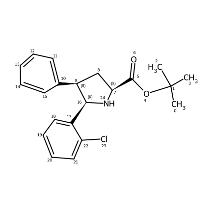 CC(C)(C)OC(=O)[C@@H]1C[C@H](c2ccccc2)[C@H](c2ccccc2Cl)N1